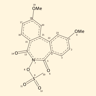 COc1ccc2c(=O)n(OS(C)(=O)=O)c(=O)c3ccc(OC)cc3c2c1